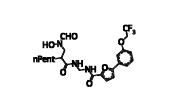 CCCCCC(CN(O)C=O)C(=O)NCNC(=O)c1ccc(-c2cccc(OCC(F)(F)F)c2)o1